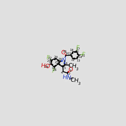 CNC(=O)Cc1c(C)n(C(=O)c2ccc(F)c(F)c2)c2cc(F)c(O)c(F)c12